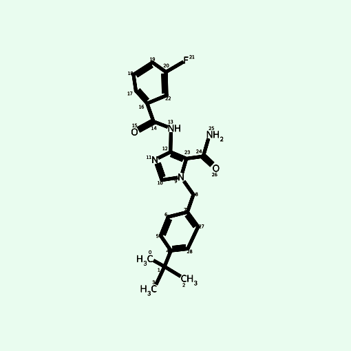 CC(C)(C)c1ccc(Cn2cnc(NC(=O)c3cccc(F)c3)c2C(N)=O)cc1